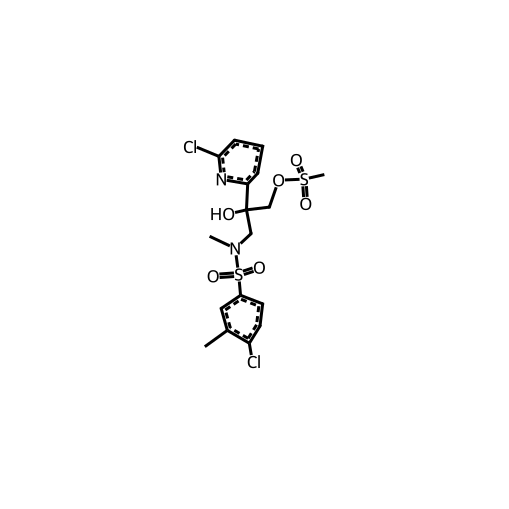 Cc1cc(S(=O)(=O)N(C)CC(O)(COS(C)(=O)=O)c2cccc(Cl)n2)ccc1Cl